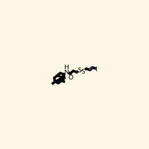 CC12CC3CC(C)(C1)CC(NC(=O)CCSSC/C=C/I)(C3)C2